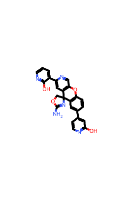 NC1=NC2(CO1)c1cc(-c3ccnc(O)c3)ccc1Oc1cnc(-c3cccnc3O)cc12